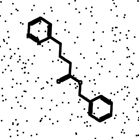 O=C(CCCc1cccnn1)OCc1ccccc1